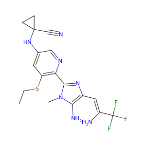 CCSc1cc(NC2(C#N)CC2)cnc1-c1nc(/C=C(\N)C(F)(F)F)c(N)n1C